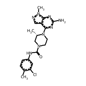 Cc1ccc(NC(=O)N2CCN(c3nc(N)nc4c3cnn4C)[C@@H](C)C2)cc1Cl